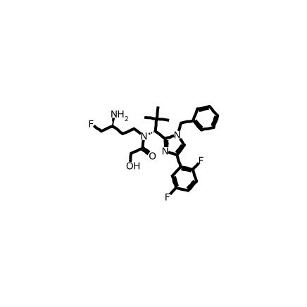 CC(C)(C)[C@H](c1nc(-c2cc(F)ccc2F)cn1Cc1ccccc1)N(CC[C@H](N)CF)C(=O)CO